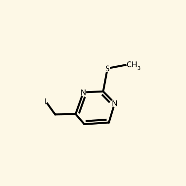 CSc1nccc(CI)n1